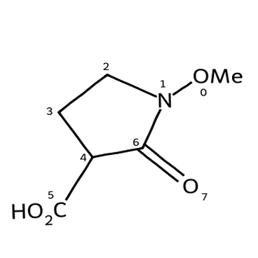 CON1CCC(C(=O)O)C1=O